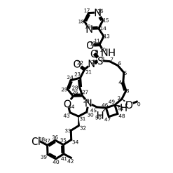 CO[C@H]1/C=C/CCCS(=O)(NC(=O)Cc2cnccn2)=NC(=O)c2ccc3c(c2)N(C[C@@H](CCCc2cc(Cl)ccc2C)CO3)C[C@@H]2CC[C@H]21